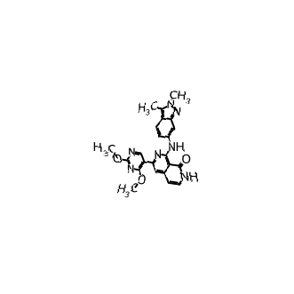 COc1ncc(-c2cc3cc[nH]c(=O)c3c(Nc3ccc4c(C)n(C)nc4c3)n2)c(OC)n1